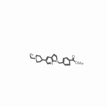 COC(=O)c1ccc(Cn2ccc3cc(C4CCN(CC(C)C)CC4)cnc32)cc1